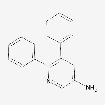 Nc1cnc(-c2ccccc2)c(-c2ccccc2)c1